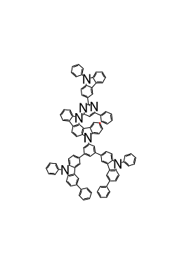 c1ccc(-c2ccc3c(c2)c2cc(-c4cc(-c5ccc6c(c5)c5cc(-c7ccccc7)ccc5n6-c5ccccc5)cc(-n5c6ccccc6c6c5ccc5c7ccccc7n(-c7cc(-c8ccccc8)nc(-c8ccc9c(c8)c8ccccc8n9-c8ccccc8)n7)c56)c4)ccc2n3-c2ccccc2)cc1